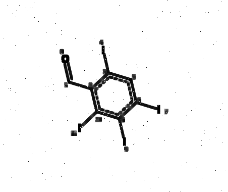 O=Cc1c(I)cc(I)c(I)c1I